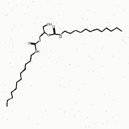 CCCCCCCCCCCCNC(=O)OCC(CO)OC(=O)NCCCCCCCCCCCC